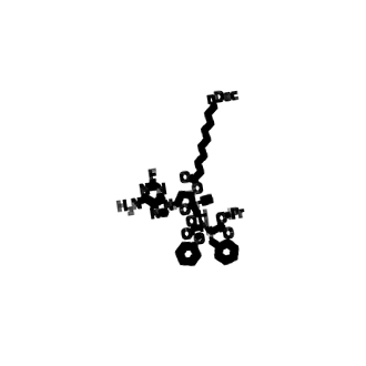 C#C[C@]1(COP(=O)(N[C@@H](Cc2ccccc2)C(=O)OC(C)C)Oc2ccccc2)O[C@@H](n2cnc3c(N)nc(F)nc32)C[C@@H]1OC(=O)CCCCCCCCCCCCCCCCCCC